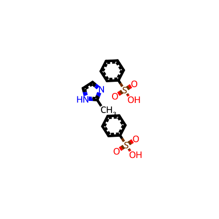 Cc1ncc[nH]1.O=S(=O)(O)c1ccccc1.O=S(=O)(O)c1ccccc1